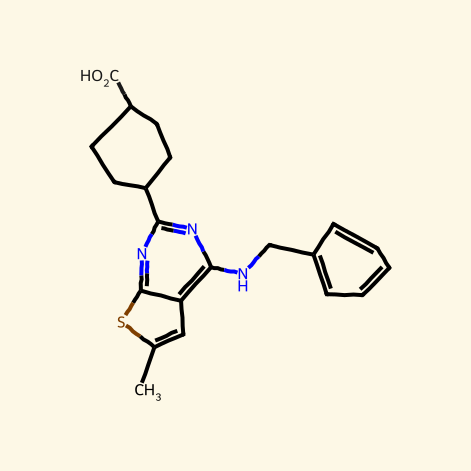 Cc1cc2c(NCc3ccccc3)nc(C3CCC(C(=O)O)CC3)nc2s1